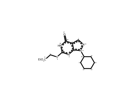 CCOC(=O)CSc1nc2c(cnn2C2CCCCC2)c(=O)[nH]1